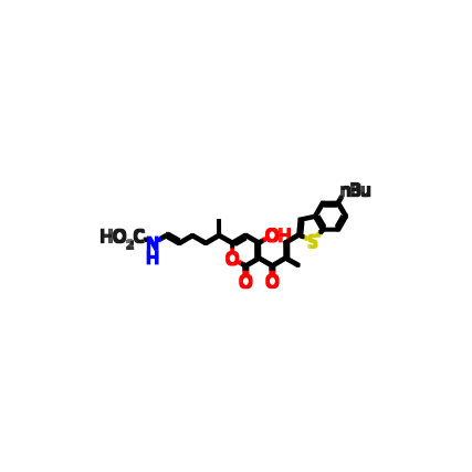 CCCCc1ccc2sc(/C=C(\C)C(=O)c3c(O)cc(C(C)CC/C=C/NC(=O)O)oc3=O)cc2c1